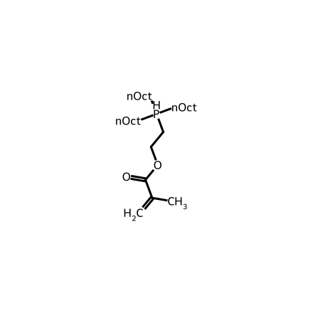 C=C(C)C(=O)OCC[PH](CCCCCCCC)(CCCCCCCC)CCCCCCCC